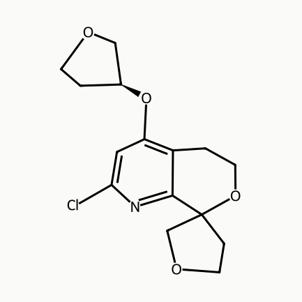 Clc1cc(O[C@H]2CCOC2)c2c(n1)C1(CCOC1)OCC2